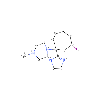 CN1CCN(C2(c3ncc[nH]3)CCCCC(I)C2)CC1